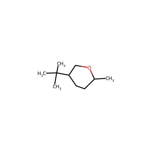 CC1CCC(C(C)(C)C)CO1